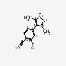 Cc1n[nH]c(C)c1-c1ccc(C#N)c(F)c1